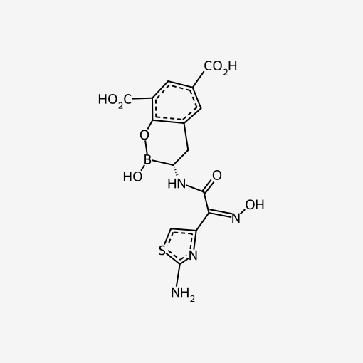 Nc1nc(/C(=N/O)C(=O)N[C@H]2Cc3cc(C(=O)O)cc(C(=O)O)c3OB2O)cs1